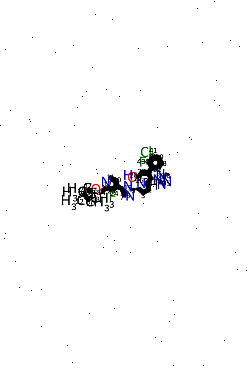 [2H]C12CC[C@@H](c3ncc(-c4ccnc(CO[Si](C)(C)C(C)(C)C)c4F)[nH]3)N1C(=O)C=C(c1c(-n3cnnn3)ccc(Cl)c1F)C2